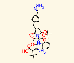 CC(=O)[C@](C(=O)OC(C)(C)C)(N1C(=O)CC(Cc2ccc(C=NN)cc2)C1=O)N(C(=O)[C@@H](N)C(C(=O)O)C(C)(C)C)c1ccccc1